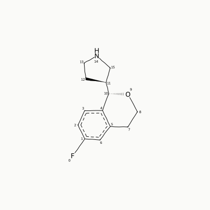 Fc1ccc2c(c1)CCO[C@H]2[C@H]1CCNC1